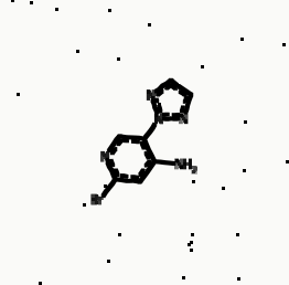 Nc1cc(Br)ncc1-n1nccn1